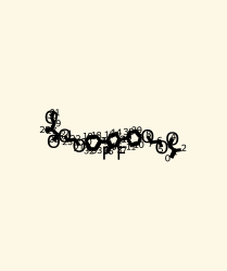 C=C(C)C(=O)OCCOc1ccc(-c2ccc(-c3ccc(OCCOC(=O)C(=C)COC)cc3)c(F)c2F)cc1